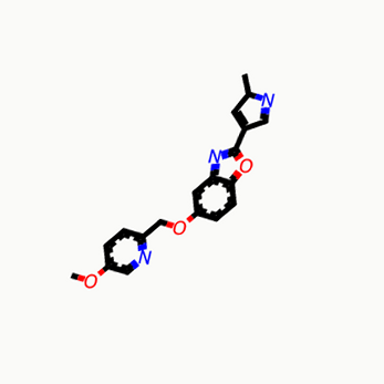 COc1ccc(COc2ccc3oc(C4=CC(C)N=C4)nc3c2)nc1